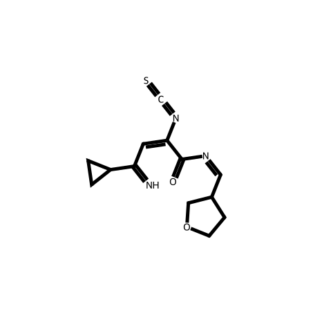 N=C(/C=C(/N=C=S)C(=O)/N=C\C1CCOC1)C1CC1